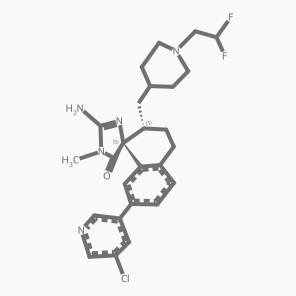 CN1C(=O)[C@@]2(N=C1N)c1cc(-c3cncc(Cl)c3)ccc1CC[C@H]2CC1CCN(CC(F)F)CC1